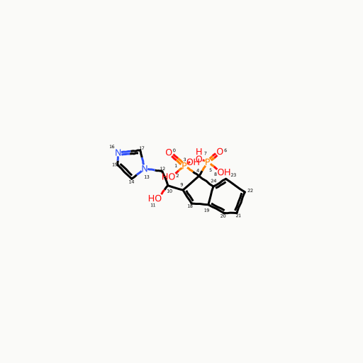 O=P(O)(O)C1(P(=O)(O)O)C(C(O)Cn2ccnc2)=Cc2ccccc21